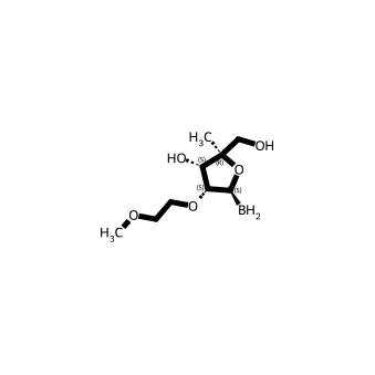 B[C@@H]1O[C@](C)(CO)[C@@H](O)[C@H]1OCCOC